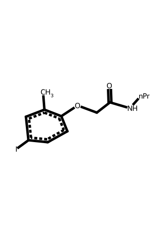 CCCNC(=O)COc1ccc(I)cc1C